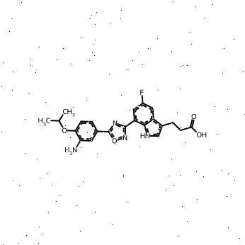 CC(C)Oc1ccc(-c2nc(-c3cc(F)cc4c(CCC(=O)O)c[nH]c34)no2)cc1N